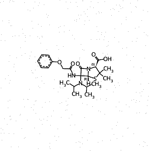 CC(C)N(C(C)C)C1(NC(=O)COc2ccccc2)C(=O)N2[C@@H](C(=O)O)C(C)(C)S[C@@H]21